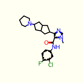 Cn1cnc(C2CC3CC(N4CCCCC4)CC3C2)c1C(=O)Nc1ccc(F)c(Cl)c1